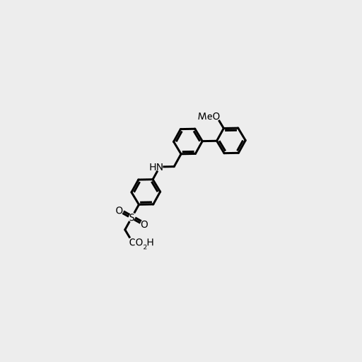 COc1ccccc1-c1cccc(CNc2ccc(S(=O)(=O)CC(=O)O)cc2)c1